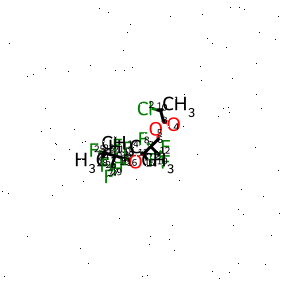 CC(Cl)C(=O)OCC(F)(C(F)(F)F)C(C)(C)OC(F)(F)C(F)(C(C)(C)F)C(F)(F)F